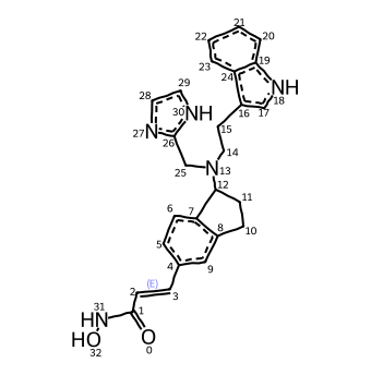 O=C(/C=C/c1ccc2c(c1)CCC2N(CCc1c[nH]c2ccccc12)Cc1ncc[nH]1)NO